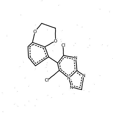 Clc1nc2ncnn2c(Cl)c1-c1cccc2c1OCCO2